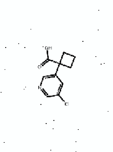 O=C(O)C1(c2cncc(Cl)c2)CCC1